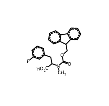 CN(C(=O)OCC1c2ccccc2-c2ccccc21)C(Cc1cccc(F)c1)C(=O)O